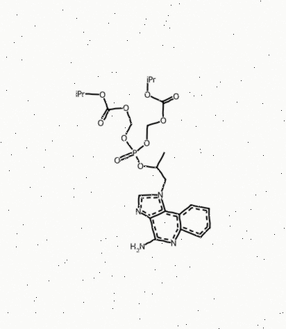 CC(C)OC(=O)OCOP(=O)(OCOC(=O)OC(C)C)OC(C)Cn1cnc2c(N)nc3ccccc3c21